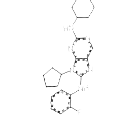 Fc1ccccc1Nc1nc2cnc(NC3CCCCC3)nc2n1C1CCCC1